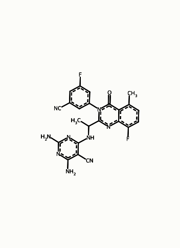 Cc1ccc(F)c2nc(C(C)Nc3nc(N)nc(N)c3C#N)n(-c3cc(F)cc(C#N)c3)c(=O)c12